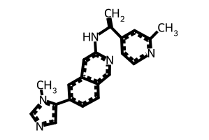 C=C(Nc1cc2cc(-c3cncn3C)ccc2cn1)c1ccnc(C)c1